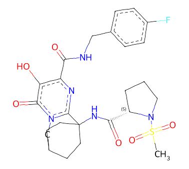 CS(=O)(=O)N1CCC[C@H]1C(=O)NC12CCC(CC1)Cn1c2nc(C(=O)NCc2ccc(F)cc2)c(O)c1=O